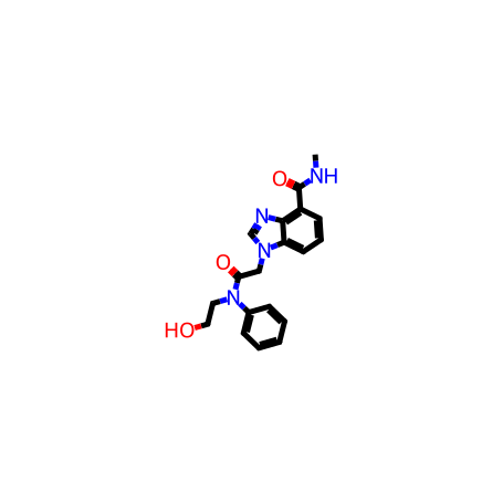 CNC(=O)c1cccc2c1ncn2CC(=O)N(CCO)c1ccccc1